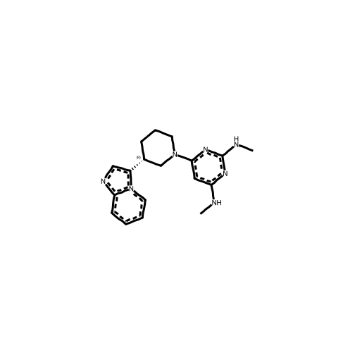 CNc1cc(N2CCC[C@@H](c3cnc4ccccn34)C2)nc(NC)n1